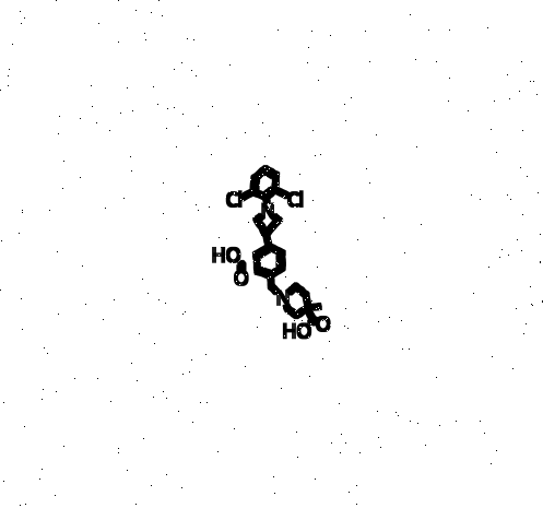 CC1(C(=O)O)CCN(Cc2ccc(C3CN(c4c(Cl)cccc4Cl)C3)cc2)CC1.O=CO